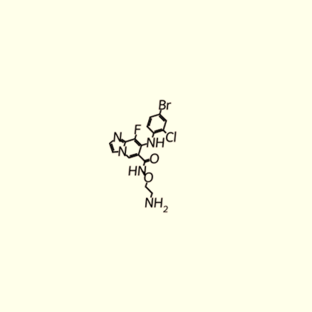 NCCONC(=O)c1cn2ccnc2c(F)c1Nc1ccc(Br)cc1Cl